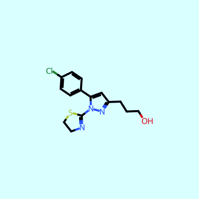 OCCCc1cc(-c2ccc(Cl)cc2)n(C2=NCCS2)n1